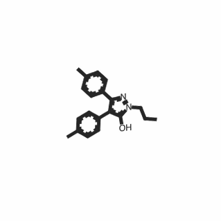 CCCn1nc(-c2ccc(C)cc2)c(-c2ccc(C)cc2)c1O